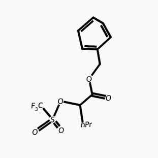 CCCC(OS(=O)(=O)C(F)(F)F)C(=O)OCc1ccccc1